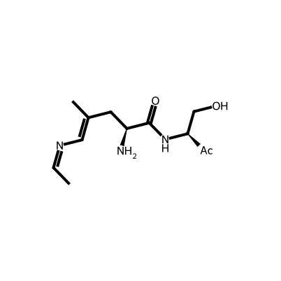 C/C=N\C=C(/C)C[C@H](N)C(=O)N[C@@H](CO)C(C)=O